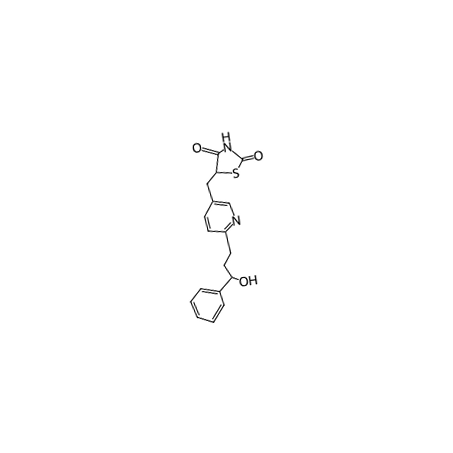 O=C1NC(=O)C(Cc2ccc(CCC(O)c3ccccc3)nc2)S1